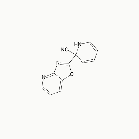 N#CC1(c2nc3ncccc3o2)C=CC=CN1